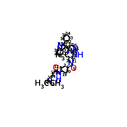 C[C@H]1CN(C(=O)c2ccc(NC(=O)/C=C/CN(C)C)cc2)C[C@H]1Nc1nccc(-c2c(-c3ccccc3)nn3ccccc23)n1